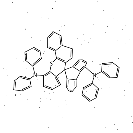 c1ccc(N(c2ccccc2)c2cccc3c2Sc2c(ccc4ccccc24)C32c3ccccc3-c3c(N(c4ccccc4)c4ccccc4)cccc32)cc1